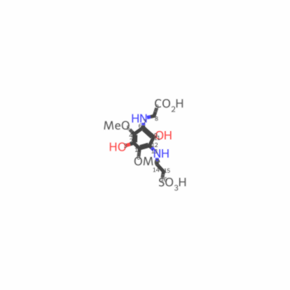 COc1c(O)c(OC)c(NCC(=O)O)c(O)c1NCCS(=O)(=O)O